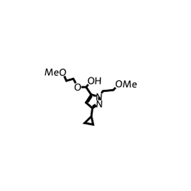 COCCOC(O)c1cc(C2CC2)nn1CCOC